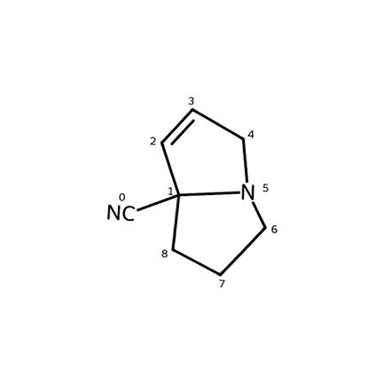 N#CC12C=CCN1CCC2